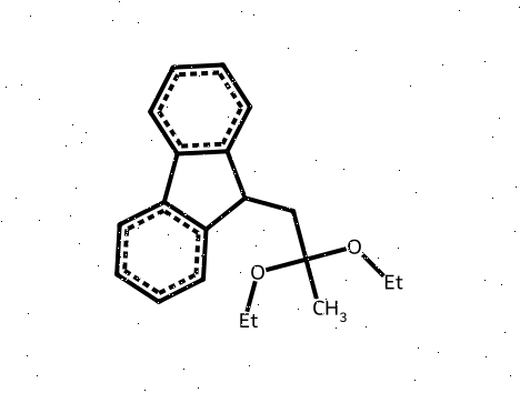 CCOC(C)(CC1c2ccccc2-c2ccccc21)OCC